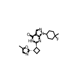 Cc1cnc([C@H]2CC[C@@H]2c2nc3c(cnn3C3CCC(C)(F)CC3)c(=O)[nH]2)o1